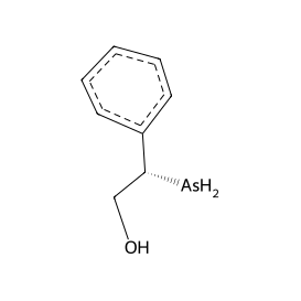 OC[C@@H]([AsH2])c1ccccc1